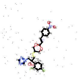 C[C@@H](SC1COC(/C=C/c2ccc([N+](=O)[O-])cc2)OC1)[C@](O)(Cn1cncn1)c1ccc(F)cc1F